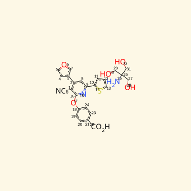 N#Cc1c(-c2ccoc2)cc(-c2cccs2)nc1Oc1ccc(C(=O)O)cc1.NC(CO)(CO)CO